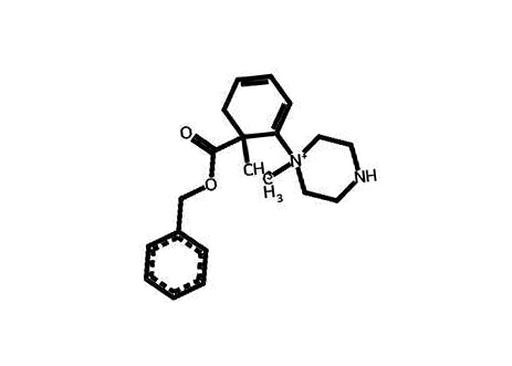 CC1(C(=O)OCc2ccccc2)CC=CC=C1[N+]1(C)CCNCC1